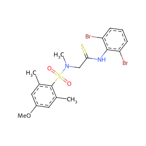 COc1cc(C)c(S(=O)(=O)N(C)CC(=S)Nc2c(Br)cccc2Br)c(C)c1